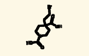 O=C(O)N1CCC(CCBr)(C(=O)O)CC1